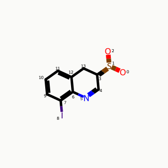 O=S(=O)=C1C=Nc2c(I)cccc2C1